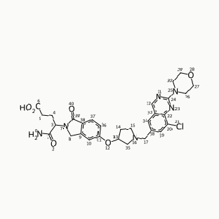 NC(=O)C(CCC(=O)O)N1Cc2cc(OC3CCN(Cc4cc(Cl)c5nc(N6CCOCC6)ncc5c4)C3)ccc2C1=O